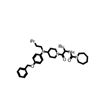 CCC(C)C(NC(=O)N1CCCCCC1)C(=O)N1CCC(N(CCC(C)C)c2ccc(OCc3ccccc3)cc2)CC1